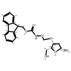 B[C@H]1C[C@@H](OCONC(=O)OCC2c3ccccc3-c3ccccc32)[C@@H](CO)O1